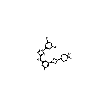 Cc1cc(Nc2ncn(-c3cc(F)cc(F)c3)n2)cc(N2CC(N3CCS(=O)(=O)CC3)C2)c1